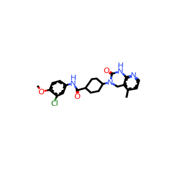 COc1ccc(NC(=O)C2CCC(N3Cc4c(C)ccnc4NC3=O)CC2)cc1Cl